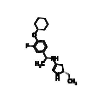 CC[C@H]1CC(NC(C)c2ccc(OC3CCCCC3)c(F)c2)=CN1